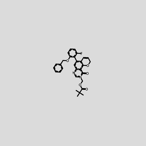 CC(C)(C)C(=O)OCn1cnc2cc(-c3c(F)cccc3OCc3ccccc3)c3c(c2c1=O)OCC=C3